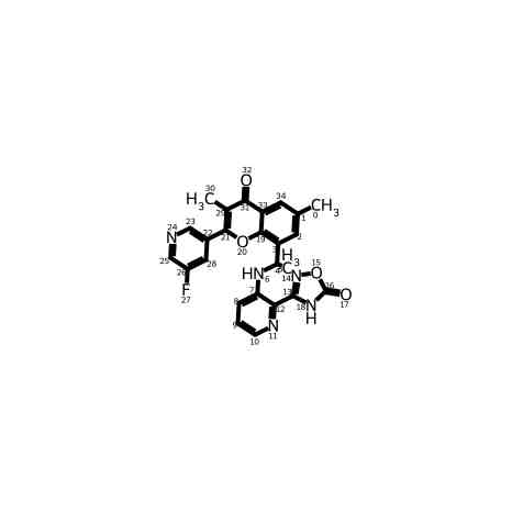 Cc1cc(C(C)Nc2cccnc2-c2noc(=O)[nH]2)c2oc(-c3cncc(F)c3)c(C)c(=O)c2c1